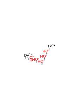 [Dy+3].[Fe+2].[OH-].[OH-].[OH-].[OH-].[OH-]